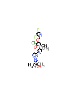 Cc1cnc(-c2ccnc(N3CC(C(C)(C)O)C3)n2)cc1-n1c(C)cc(OCc2ncc(F)cc2F)c(Cl)c1=O